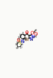 CC(=O)Oc1c(C(=O)c2cccc(N=S3(=O)CCCCC3)c2Br)cnn1C